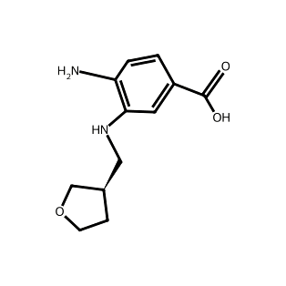 Nc1ccc(C(=O)O)cc1NC[C@H]1CCOC1